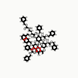 CC(=O)OCC1O[C@H](O[C@@H]2C(O)C(O[C@H]3O[C@H](CNC(=O)OCc4ccccc4)CCC3NC(=O)OCc3ccccc3)[C@@H](NC(=O)OCc3ccccc3)C(OCc3ccccc3)[C@H]2NC(=O)[C@H](CCNC(=O)OCc2ccccc2)OCc2ccccc2)C(OCc2ccccc2)[C@@H](NC(=O)OCc2ccccc2)[C@@H]1OC(C)=O